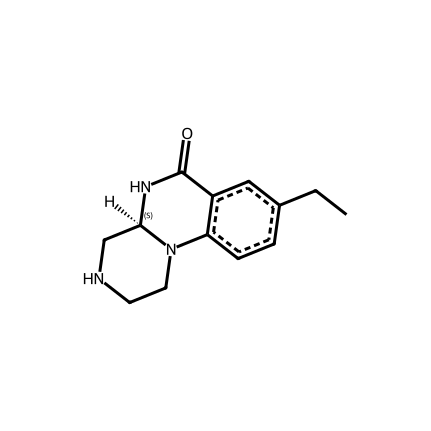 CCc1ccc2c(c1)C(=O)N[C@@H]1CNCCN21